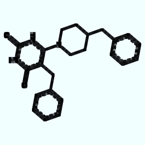 O=c1[nH]c(N2CCC(Cc3ccccc3)CC2)c(Cc2ccccc2)c(=O)[nH]1